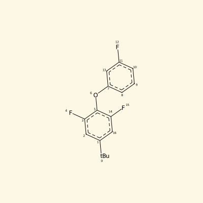 CC(C)(C)c1cc(F)c(Oc2cccc(F)c2)c(F)c1